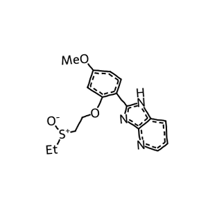 CC[S+]([O-])CCOc1cc(OC)ccc1-c1nc2ncccc2[nH]1